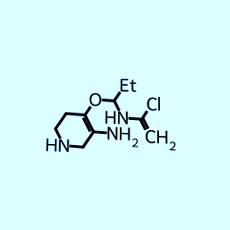 C=C(Cl)NC(CC)OC1=C(N)CNCC1